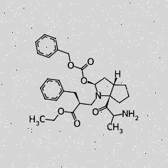 CCOC(=O)[C@@H](Cc1ccccc1)CN1[C@@H](OC(=O)OCc2ccccc2)C[C@@H]2CCC[C@@]21C(=O)C(C)N